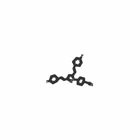 N#Cc1ccc(-n2nc(C=Cc3ccc(F)cc3)cc2C=Cc2ccc(F)cc2)cc1